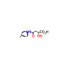 Cc1ccc(NC(=O)CC(O)C(=O)O)cc1